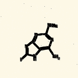 CC(=O)Nc1nc(N)c2[nH]c(F)nc2n1